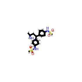 CC(N)CC(c1ccc(NS(C)(=O)=O)cc1)c1ccc(NS(C)(=O)=O)cc1